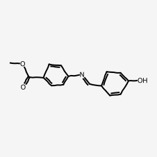 COC(=O)c1ccc(N=Cc2ccc(O)cc2)cc1